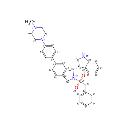 CN1CCN(c2ccc(-c3ccc4c(c3)[C@H](c3c[nH]c5ccccc35)N(S(=O)(=O)Cc3ccccc3)C4)cc2)CC1